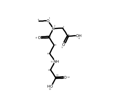 CON(CC(=O)O)C(=O)CCNCC(=O)O